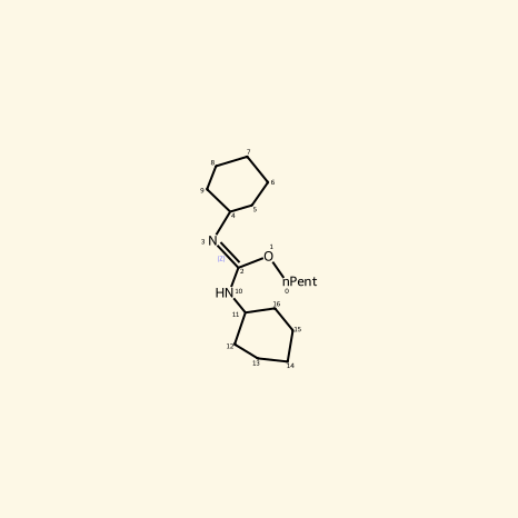 CCCCCO/C(=N\C1CCCCC1)NC1CCCCC1